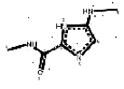 CNC(=O)c1ncc(NC)[nH]1